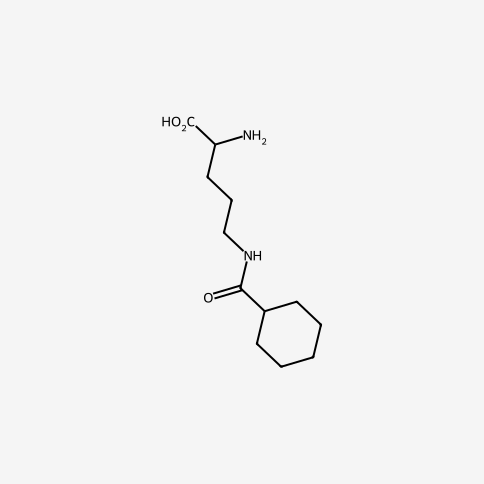 NC(CCCNC(=O)C1CCCCC1)C(=O)O